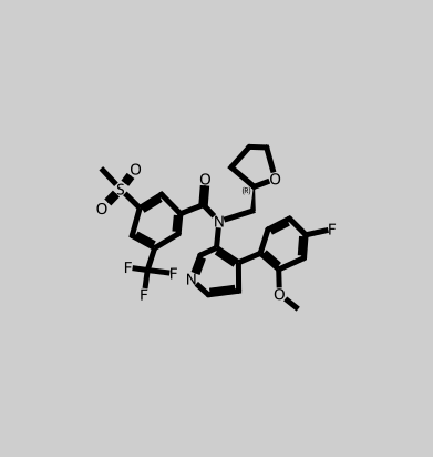 COc1cc(F)ccc1-c1ccncc1N(C[C@H]1CCCO1)C(=O)c1cc(C(F)(F)F)cc(S(C)(=O)=O)c1